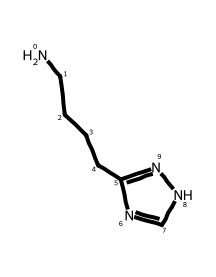 NCCCCc1nc[nH]n1